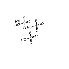 O=S(=O)(O)F.O=S(=O)(O)F.O=S(=O)(O)F.[Na]